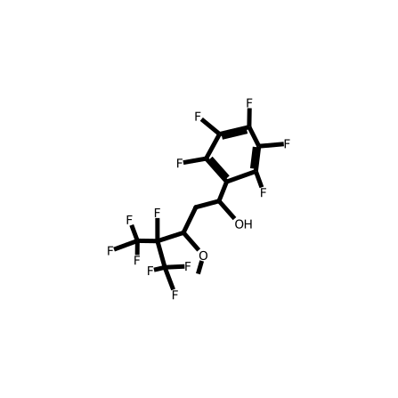 COC(CC(O)c1c(F)c(F)c(F)c(F)c1F)C(F)(C(F)(F)F)C(F)(F)F